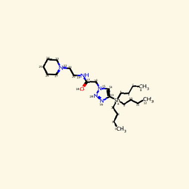 CCC[CH2][Sn]([CH2]CCC)([CH2]CCC)[c]1cn(CC(=O)NCCN2CCCCC2)nn1